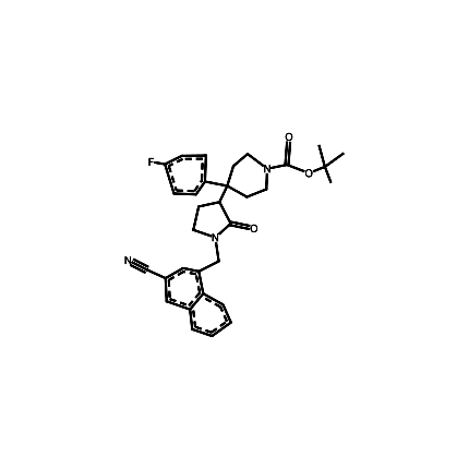 CC(C)(C)OC(=O)N1CCC(c2ccc(F)cc2)(C2CCN(Cc3cc(C#N)cc4ccccc34)C2=O)CC1